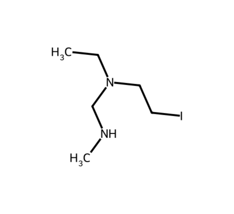 CCN(CCI)CNC